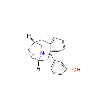 Oc1cccc(CN2C[C@@H]3CC[C@H]2Cc2ccccc2C3)c1